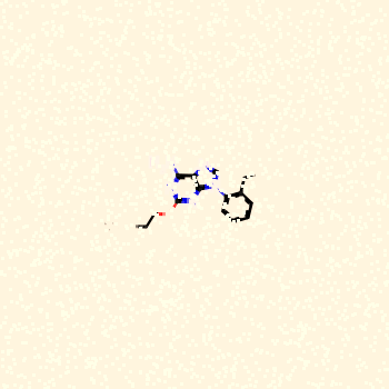 COCCOc1nc(N)c2ncn(-c3ccccc3CC=O)c2n1